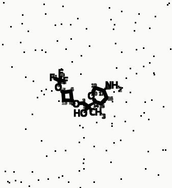 CC(O)(COC1CC(OC(F)(F)F)C1)[C@@H]1CC[C@@H](N)CO1